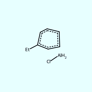 CCc1ccccc1.[AlH2][Cl]